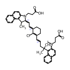 CC1/C(=C\C=C2/CCCC(/C=C/CC(C)(C)c3c(N(I)CCC(=O)O)ccc4ccccc34)=C2Cl)N(CCC(=O)O)c2ccc3ccccc3c21